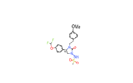 COc1ccc(CCN2C(=O)N(NS(C)(=O)=O)C[C@H]2c2ccc(OC(F)F)cc2)cc1